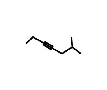 C[CH]C#CCC(C)C